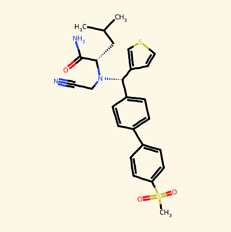 CC(C)C[C@@H](C(N)=O)N(CC#N)[C@@H](c1ccc(-c2ccc(S(C)(=O)=O)cc2)cc1)c1ccsc1